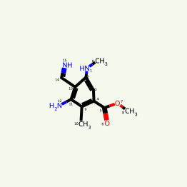 CNc1cc(C(=O)OC)c(C)c(N)c1C=N